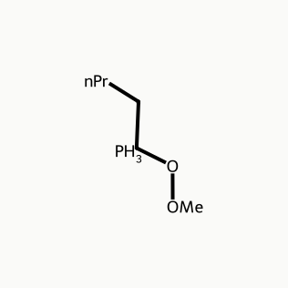 CCCCCOOC.P